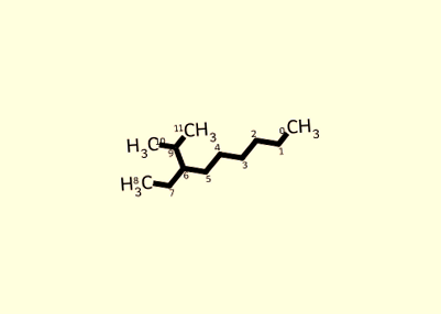 CCCCCCC(CC)C(C)C